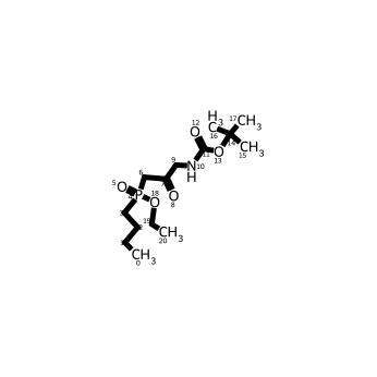 CCCCP(=O)(CC(=O)CNC(=O)OC(C)(C)C)OCC